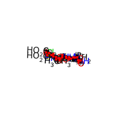 C=C1N(C(C)C)c2cc(C3CCN(C(=O)Nc4cccc(CS(=O)(=O)N5CC[C@H](Nc6cccc(-c7sc(C(=O)O)c(OCC(=O)O)c7Cl)c6)CC5(C)C)c4)CC3)ccc2N1C1CCC(=O)NC1=O